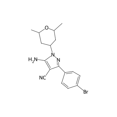 CC1CC(n2nc(-c3ccc(Br)cc3)c(C#N)c2N)CC(C)O1